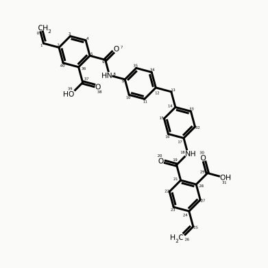 C=Cc1ccc(C(=O)Nc2ccc(Cc3ccc(NC(=O)c4ccc(C=C)cc4C(=O)O)cc3)cc2)c(C(=O)O)c1